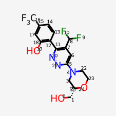 OC[C@@H]1CN(c2cc(C(F)F)c(-c3ccc(C(F)(F)F)cc3O)nn2)CCO1